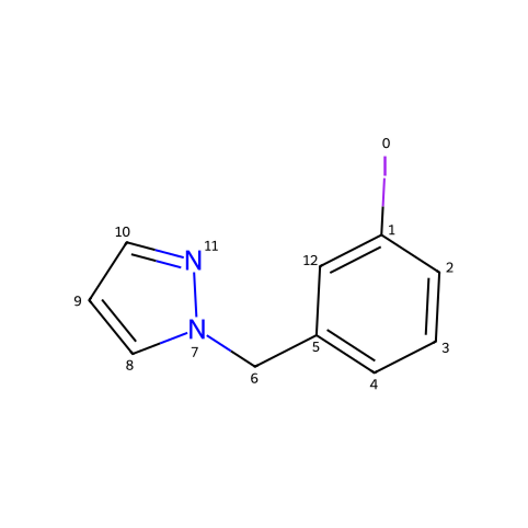 Ic1cccc(Cn2cccn2)c1